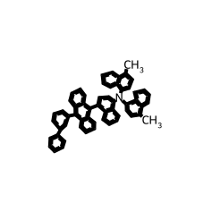 Cc1ccc(N(c2ccc(C)c3ccccc23)c2ccc(-c3c4ccccc4c(-c4cccc(-c5ccccc5)c4)c4ccccc34)c3ccccc23)c2ccccc12